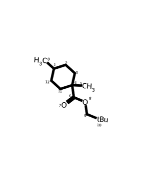 CC1CCC(C)(C(=O)OCC(C)(C)C)CC1